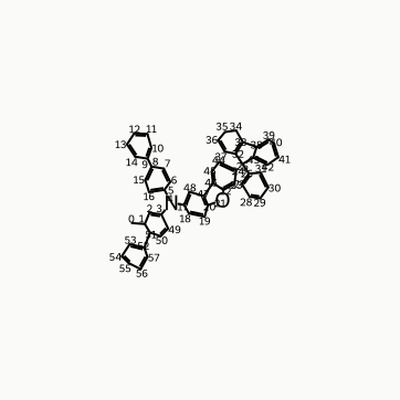 CC1C=C(N(c2ccc(-c3ccccc3)cc2)c2ccc3oc4cc([C@]5(c6ccccc6)C6=C(CCC=C6)c6ccccc65)ccc4c3c2)C=CC1c1ccccc1